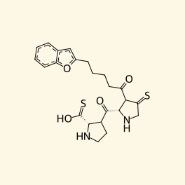 O=C(CCCCc1cc2ccccc2o1)C1C(=S)CN[C@@H]1C(=O)C1CCN[C@@H]1C(O)=S